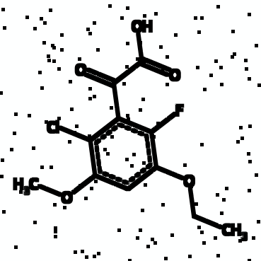 CCOc1cc(OC)c(Cl)c(C(=O)C(=O)O)c1F